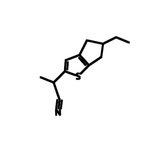 CCC1Cc2cc(C(C)C#N)sc2C1